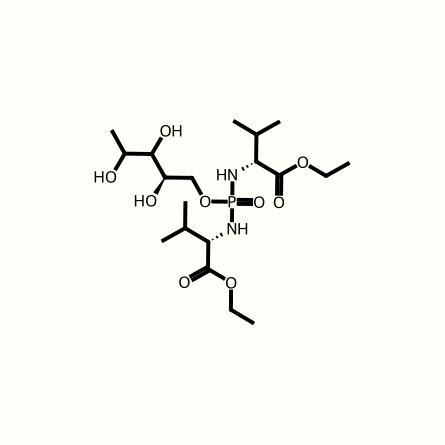 CCOC(=O)[C@@H](NP(=O)(N[C@@H](C(=O)OCC)C(C)C)OC[C@@H](O)C(O)C(C)O)C(C)C